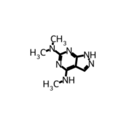 CNc1nc(N(C)C)nc2[nH]ncc12